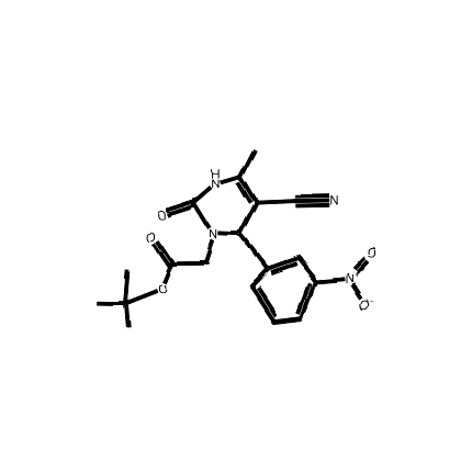 CC1=C(C#N)C(c2cccc([N+](=O)[O-])c2)N(CC(=O)OC(C)(C)C)C(=O)N1